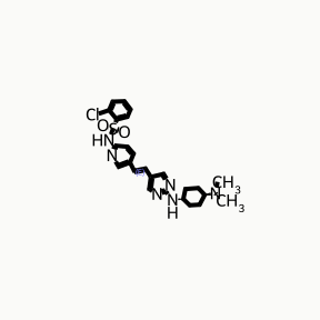 CN(C)[C@H]1CC[C@H](Nc2ncc(/C=C/c3ccc(NS(=O)(=O)c4ccccc4Cl)nc3)cn2)CC1